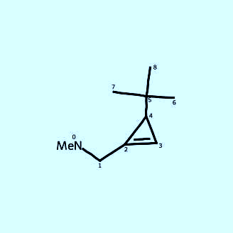 CNCC1=CC1C(C)(C)C